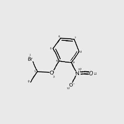 CC(Br)Oc1ccccc1[N+](=O)[O-]